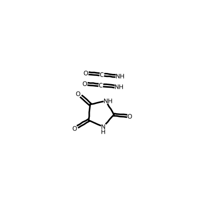 N=C=O.N=C=O.O=C1NC(=O)C(=O)N1